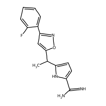 CC(c1ccc(C(=N)N)[nH]1)c1cc(-c2ccccc2F)no1